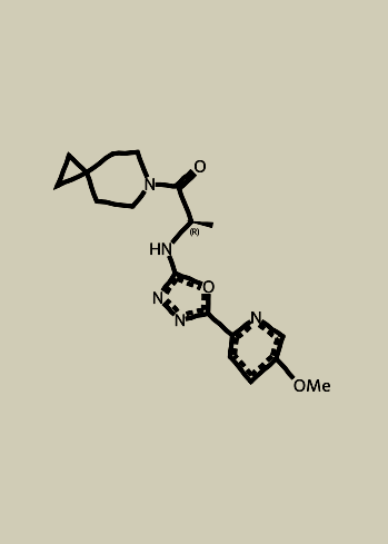 COc1ccc(-c2nnc(N[C@H](C)C(=O)N3CCC4(CC3)CC4)o2)nc1